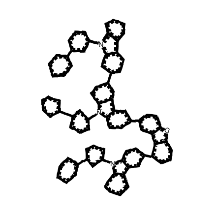 c1ccc(-c2cccc(-n3c4ccc(-c5ccc6oc7cccc(-c8ccc9c(c8)c8ccccc8n9-c8cccc(-c9ccccc9)c8)c7c6c5)cc4c4cc(-c5ccc6c7ccccc7n(-c7cccc(-c8ccccc8)c7)c6c5)ccc43)c2)cc1